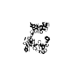 CC[C@@]1(O)C(=O)OCc2c1cc1n(c2=O)Cc2c-1nc1cc(F)c(C)c3c1c2[C@@H](NC(=O)COCNC(=O)CNC(=O)[C@H](Cc1ccccc1)NC(=O)CNC(=O)CNC(=O)c1cc(C(=O)OCc2ccccc2)cc(N2C(=O)C=CC2=O)c1)C3